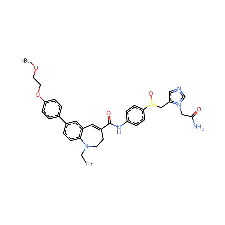 CCCCOCCOc1ccc(-c2ccc3c(c2)C=C(C(=O)Nc2ccc([S+]([O-])Cc4cncn4CC(N)=O)cc2)CCN3CC(C)C)cc1